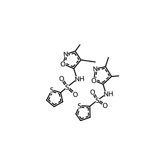 Cc1noc(NS(=O)(=O)c2cccs2)c1C.Cc1noc(NS(=O)(=O)c2cccs2)c1C